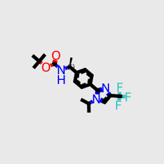 CC(C)n1cc(C(F)(F)F)nc1-c1ccc([C@H](C)NC(=O)OC(C)(C)C)cc1